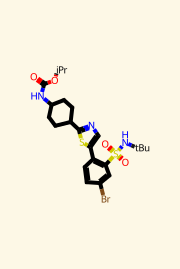 CC(C)OC(=O)NC1CCC(c2ncc(-c3ccc(Br)cc3S(=O)(=O)NC(C)(C)C)s2)CC1